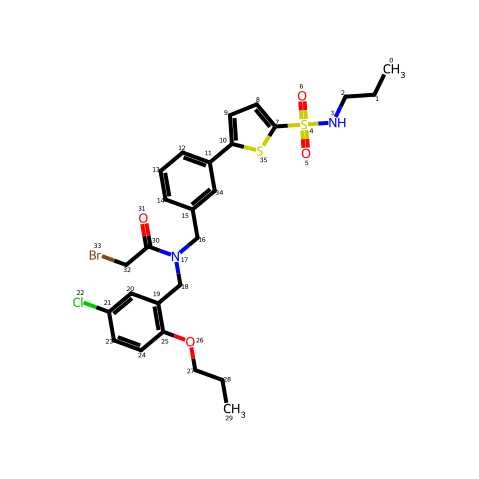 CCCNS(=O)(=O)c1ccc(-c2cccc(CN(Cc3cc(Cl)ccc3OCCC)C(=O)CBr)c2)s1